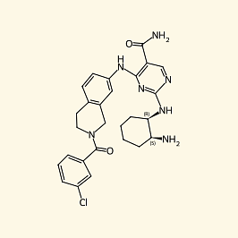 NC(=O)c1cnc(N[C@@H]2CCCC[C@@H]2N)nc1Nc1ccc2c(c1)CN(C(=O)c1cccc(Cl)c1)CC2